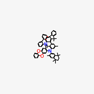 Cc1cc2c3c(c1)N(c1cc4c(cc1C)C(C)(C)CCC4(C)C)c1cc4c(cc1B3N(c1ccccc1-c1ccccc1)c1ccc3c(c1-2)C(C)(C)c1ccccc1-3)Oc1ccccc1O4